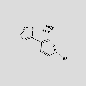 [B+2]c1ccc(-c2cccs2)cc1.[OH-].[OH-]